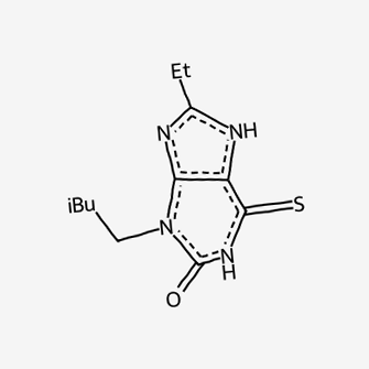 CCc1nc2c([nH]1)c(=S)[nH]c(=O)n2CC(C)CC